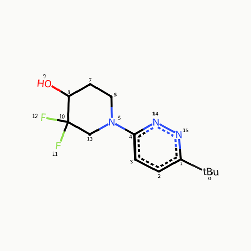 CC(C)(C)c1ccc(N2CCC(O)C(F)(F)C2)nn1